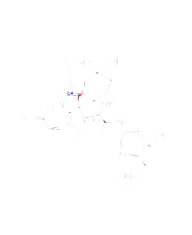 C=C(Cl)/C=C\C=C(/F)[C@H]1[C@H](C(=O)N[C@H]2CO[C@H](CO)[C@H](OC)C2)NC2(CCC(C)(C)CC2)[C@@]12C(=O)Nc1nc(Cl)ccc12